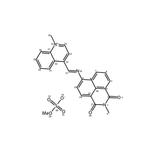 CN1C(=O)c2cccc3c(/N=C/c4cc[n+](C)c5ccccc45)ccc(c23)C1=O.COS(=O)(=O)[O-]